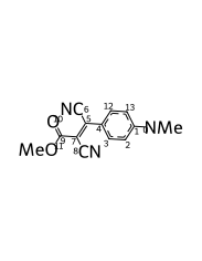 CNc1ccc(/C(C#N)=C(\C#N)C(=O)OC)cc1